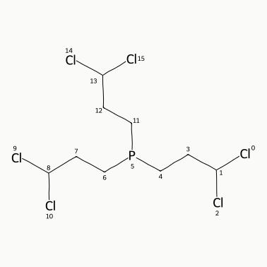 ClC(Cl)CCP(CCC(Cl)Cl)CCC(Cl)Cl